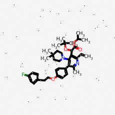 C=Cc1nc(C)c(-c2ccc(OCCc3ccc(F)cc3)cc2)c(N2CCC(C)(C)CC2)c1C(OC(C)(C)C)C(=O)OC(C)C